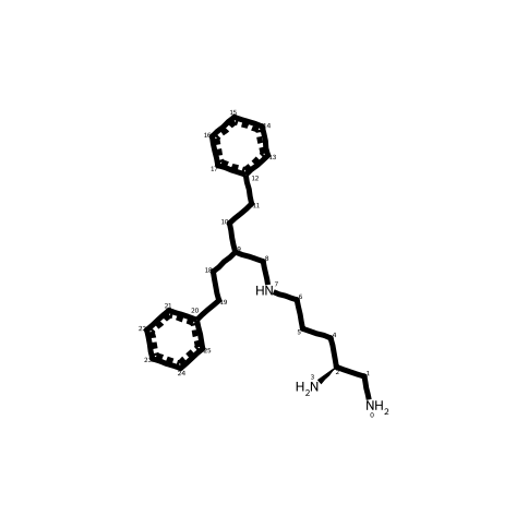 NC[C@@H](N)CCCNCC(CCc1ccccc1)CCc1ccccc1